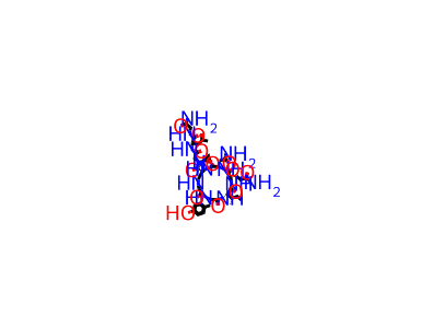 CC[C@H](C)[C@@H]1NC(=O)[C@H](Cc2ccc(O)cc2)NC(=O)CNC[C@@H](C(=O)N(CC(=O)N[C@](C)(CC(C)C)C(=O)NCC(N)=O)C2CC2)NC(=O)[C@H](CC(N)=O)NC(=O)[C@H](CCC(N)=O)NC1=O